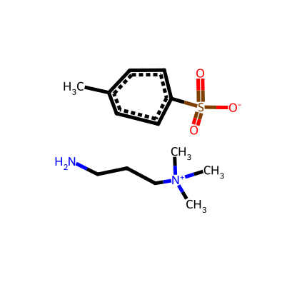 C[N+](C)(C)CCCN.Cc1ccc(S(=O)(=O)[O-])cc1